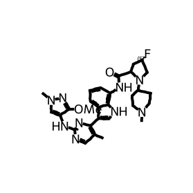 COc1nn(C)cc1Nc1ncc(C)c(-c2c[nH]c3c(NC(=O)C4C[C@H](F)CN4C4CCN(C)CC4)cccc23)n1